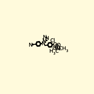 CN(C)S(=O)(=O)Oc1ccc(CN(c2ccc(C#N)cc2)n2cnnc2)cc1Cl